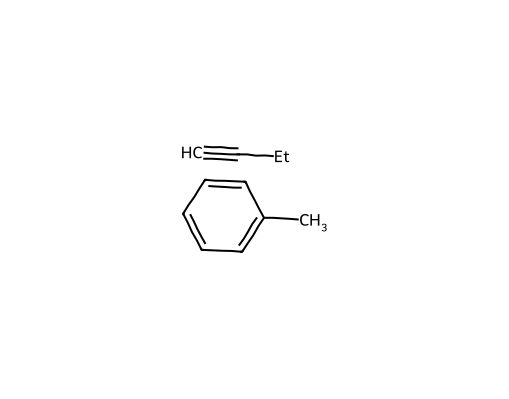 C#CCC.Cc1ccccc1